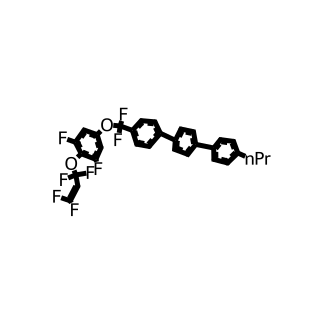 CCCc1ccc(-c2ccc(-c3ccc(C(F)(F)Oc4cc(F)c(OC(F)(F)C=C(F)F)c(F)c4)cc3)cc2)cc1